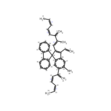 C=CC1=C(/C=C(\C)C(=C)/C=C\C=C/N)C2(c3cc(C(=C)/C=C\C=C/C)c(N)cc31)c1ccccc1-c1ccccc12